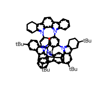 CC(C)(C)C1=Cc2c(n3c4c(cc(C(C)(C)C)cc24)C2Bc4c-3cc(-n3c5ccccc5c5ccc6c7c(n(C8=CC=C(n9c%10ccccc%10c%10ccccc%109)CC8)c6c53)C=CCC7)cc4-n3c4ccc(C(C)(C)C)cc4c4cc(C(C)(C)C)cc2c43)CC1